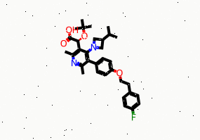 Cc1nc(C)c([C@H](OC(C)(C)C)C(=O)O)c(N2CC(C(C)C)C2)c1-c1ccc(OCCc2ccc(F)cc2)cc1